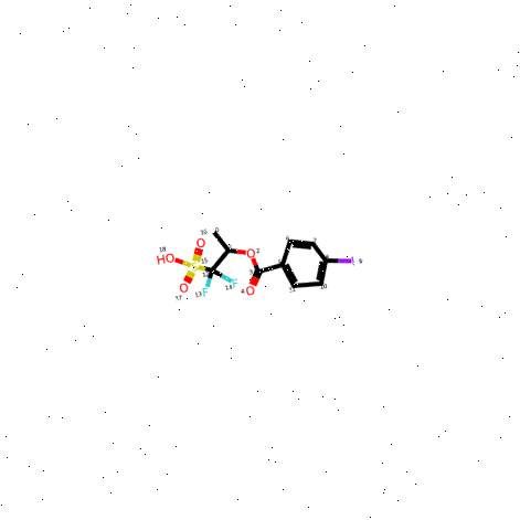 CC(OC(=O)c1ccc(I)cc1)C(F)(F)S(=O)(=O)O